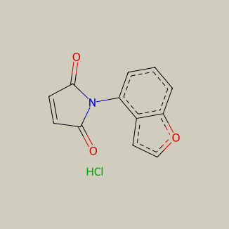 Cl.O=C1C=CC(=O)N1c1cccc2occc12